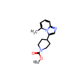 Cc1cccc2ncc(C3CCN(C(=O)OC(C)(C)C)CC3)n12